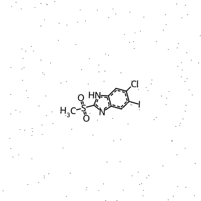 CS(=O)(=O)c1nc2cc(I)c(Cl)cc2[nH]1